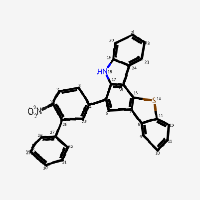 O=[N+]([O-])c1ccc(-c2cc3c4ccccc4sc3c3c2[nH]c2ccccc23)cc1-c1ccccc1